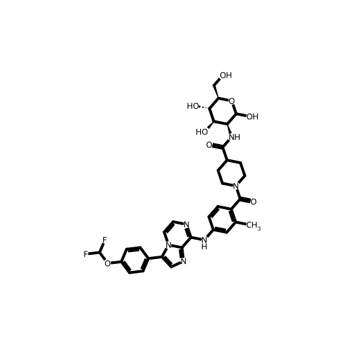 Cc1cc(Nc2nccn3c(-c4ccc(OC(F)F)cc4)cnc23)ccc1C(=O)N1CCC(C(=O)N[C@@H]2C(O)O[C@H](CO)[C@@H](O)[C@@H]2O)CC1